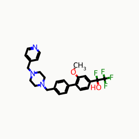 COc1cc(C(O)(F)C(F)(F)F)ccc1-c1ccc(CN2CCN(Cc3ccncc3)CC2)cc1